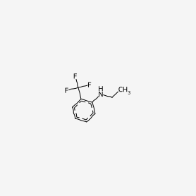 CCNc1ccccc1C(F)(F)F